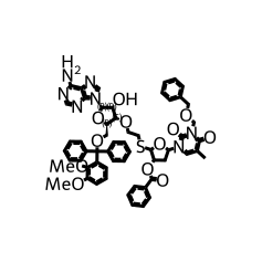 COc1cccc(C(OC[C@H]2O[C@@H](n3cnc4c(N)ncnc43)[C@H](O)[C@@H]2OCCSC2OC(n3cc(C)c(=O)n(COCc4ccccc4)c3=O)CC2OC(=O)c2ccccc2)(c2ccccc2)c2ccccc2)c1OC